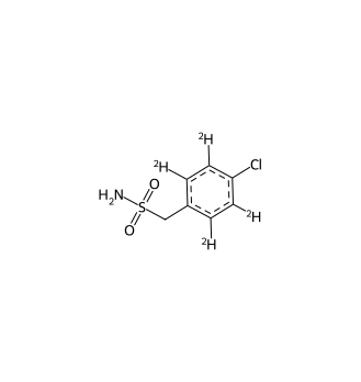 [2H]c1c([2H])c(CS(N)(=O)=O)c([2H])c([2H])c1Cl